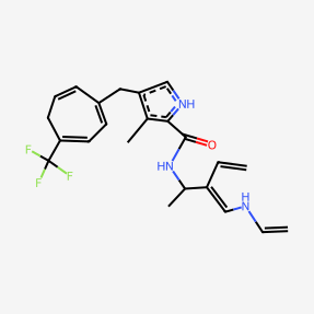 C=CN/C=C(\C=C)C(C)NC(=O)c1[nH]cc(CC2=CC=C(C(F)(F)F)CC=C2)c1C